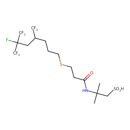 CC(C)(CS(=O)(=O)O)NC(=O)CCSCCCC(CC(F)(C(F)(F)F)C(F)(F)F)C(F)(F)F